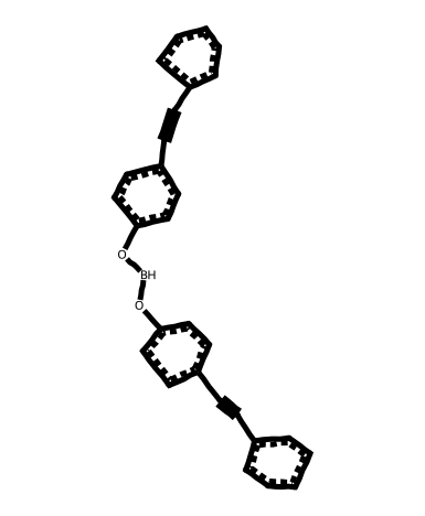 B(Oc1ccc(C#Cc2ccccc2)cc1)Oc1ccc(C#Cc2ccccc2)cc1